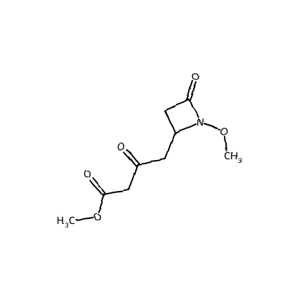 COC(=O)CC(=O)CC1CC(=O)N1OC